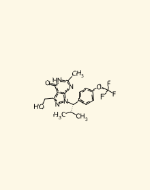 Cc1nc2c(c(CO)nn2[C@H](c2ccc(OC(F)(F)F)cc2)C(C)C)c(=O)[nH]1